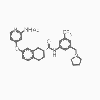 CC(=O)Nc1cc(Oc2ccc3c(c2)C[C@H](C(=O)Nc2cc(CN4CCCC4)cc(C(F)(F)F)c2)CC3)ccn1